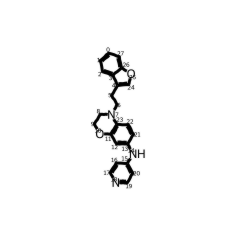 c1ccc2c(CCN3CCOc4cc(Nc5ccncc5)ccc43)coc2c1